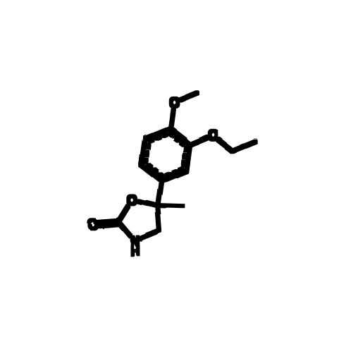 CCOc1cc(C2(C)CNC(=O)O2)ccc1OC